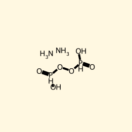 N.N.O=[PH](O)OO[PH](=O)O